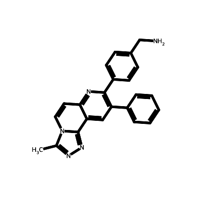 Cc1nnc2c3cc(-c4ccccc4)c(-c4ccc(CN)cc4)nc3ccn12